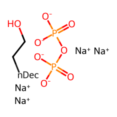 CCCCCCCCCCCCO.O=P([O-])([O-])OP(=O)([O-])[O-].[Na+].[Na+].[Na+].[Na+]